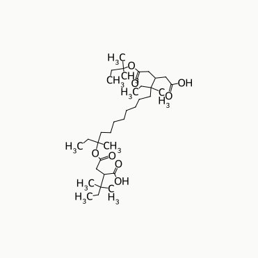 CCC(C)(C)OC(=O)CC(CC(=O)O)C(C)(CC)CCCCCCCCC(C)(CC)OC(=O)CC(C(=O)O)C(C)(C)CC